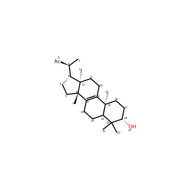 CC(=O)[C@@H](C)[C@H]1CC[C@@]2(C)C3=C(CC[C@]12C)[C@@]1(C)CC[C@H](O)C(C)(C)C1CC3